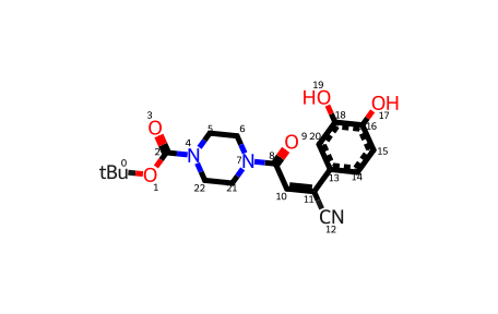 CC(C)(C)OC(=O)N1CCN(C(=O)C=C(C#N)c2ccc(O)c(O)c2)CC1